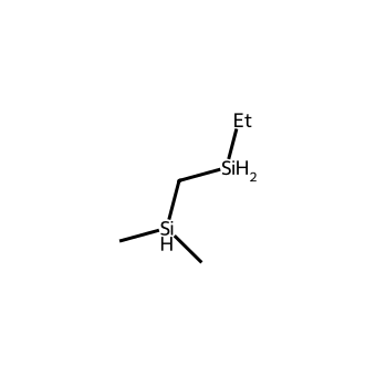 CC[SiH2]C[SiH](C)C